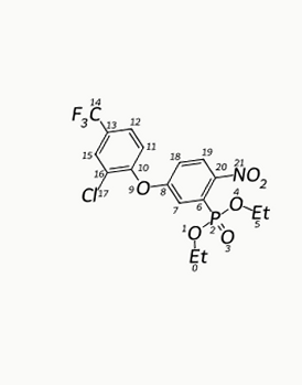 CCOP(=O)(OCC)c1cc(Oc2ccc(C(F)(F)F)cc2Cl)ccc1[N+](=O)[O-]